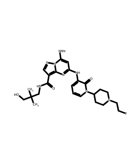 CNc1cc(Nc2cccn(C3CCN(CCF)CC3)c2=O)nc2c(C(=O)NCC(C)(C)CO)cnn12